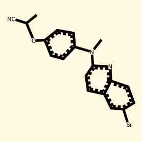 CC(C#N)Oc1ccc(N(C)c2ccc3cc(Br)ccc3n2)cc1